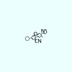 Cc1cc2c(cc1-c1cccc[n+]1C)oc1cc(C3CCCCC3)cc(C#N)c12